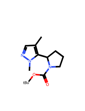 Cc1cnn(C)c1C1CCCN1C(=O)OC(C)(C)C